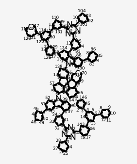 c1ccc(-c2cc(-c3ccccc3)cc(-c3cccc(-c4nc(-c5ccccc5)nc(-c5cccc(-c6cccc7c6c6cc(-c8ccccc8)ccc6n7-c6ccc7c(c6)C6(c8ccccc8-c8ccccc86)c6cc(-n8c9ccc(-c%10ccccc%10)cc9c9c(-c%10cccc(-c%11nc(-c%12ccccc%12)nc(-c%12cccc(-c%13cc(-c%14ccccc%14)cc(-c%14ccccc%14)c%13)c%12)n%11)c%10)cccc98)ccc6-7)c5)n4)c3)c2)cc1